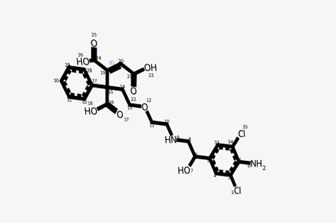 Nc1c(Cl)cc(C(O)CNCCOCCC(C(=O)O)(/C(=C\C(=O)O)C(=O)O)c2ccccc2)cc1Cl